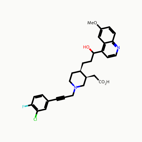 COc1ccc2nccc(C(O)CC[C@@H]3CCN(CC#Cc4ccc(F)c(Cl)c4)C[C@@H]3CC(=O)O)c2c1